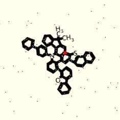 CC1(C)c2ccccc2-c2c(N(c3ccc(-c4ccccc4)cc3)c3cccc(-c4cccc5c4oc4ccccc45)c3-c3ccc4sc5c6ccccc6ccc5c4c3)cccc21